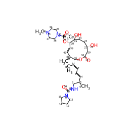 C/C(=C\C=C\[C@@H](C)CNC(=O)N1CCCC1)[C@H]1OC(=O)C[C@@H](O)CC[C@](C)(O)[C@@H](OC(=O)N2CCN(C)CC2)/C=C/[C@@H]1C